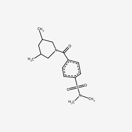 CC1CC(C)CN(C(=O)c2ccc(S(=O)(=O)N(C)C)cc2)C1